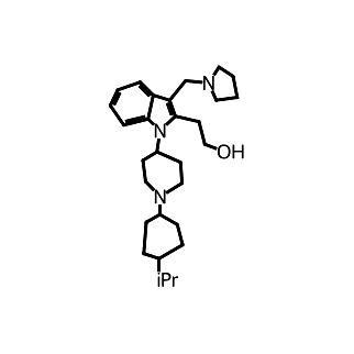 CC(C)C1CCC(N2CCC(n3c(CCO)c(CN4CCCC4)c4ccccc43)CC2)CC1